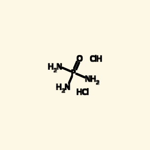 Cl.Cl.NP(N)(N)=O